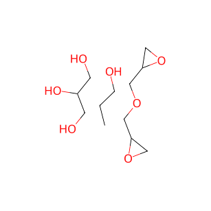 C(OCC1CO1)C1CO1.CCCO.OCC(O)CO